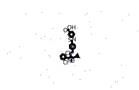 O=C(O)c1ccc2nc(C34CCC(/C=C/c5c(-c6c(Cl)cccc6Cl)noc5C5CC5)(CC3)CC4)sc2c1